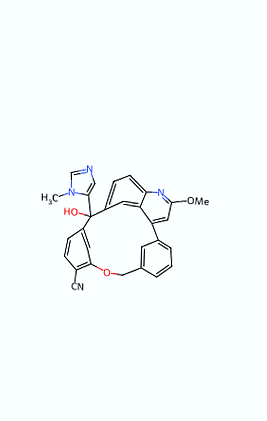 COc1cc2c3cc(ccc3n1)C(O)(c1cncn1C)c1ccc(C#N)c(c1)OCc1cccc-2c1